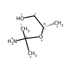 C[C@@H](CO)OC(C)(C)N